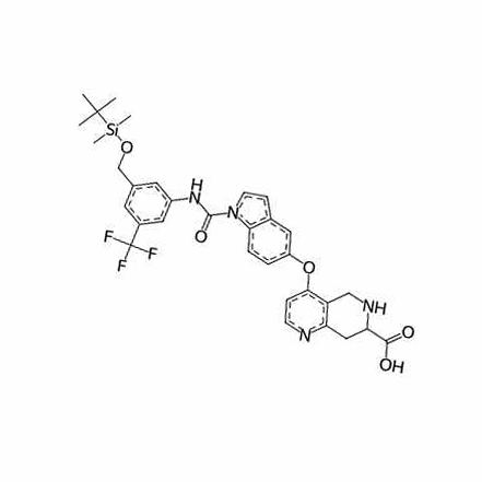 CC(C)(C)[Si](C)(C)OCc1cc(NC(=O)n2ccc3cc(Oc4ccnc5c4CNC(C(=O)O)C5)ccc32)cc(C(F)(F)F)c1